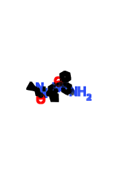 N[C@@H]1CCN(C(=O)N2CCC(Cn3cnc(C4CC4)cc3=O)C3(CCCC3)C2)[C@H](c2ccccc2)C1